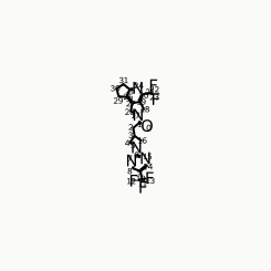 O=C(CC1CN(c2ncc(C(F)(F)F)cn2)C1)N1Cc2c(C(F)F)nc3c(c2C1)CCC3